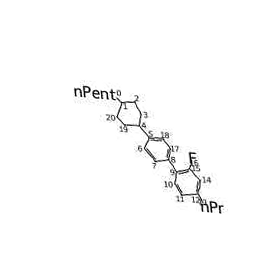 CCCCCC1CCC(c2ccc(-c3ccc(CCC)cc3F)cc2)CC1